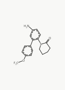 Nc1ccc(N2CCCCC2=O)c(-c2ccc(OC(F)(F)F)cc2)c1